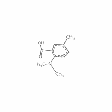 Cc1ccc(N(C)C)c(C(=O)O)c1